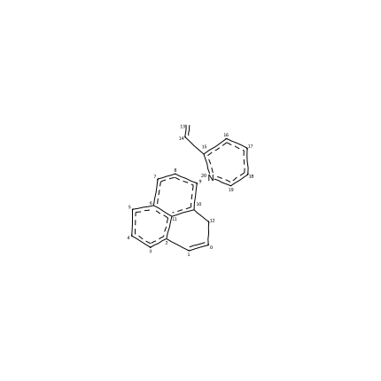 C1=Cc2cccc3cccc(c23)C1.C=Cc1ccccn1